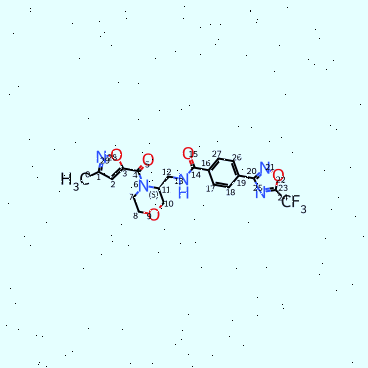 Cc1cc(C(=O)N2CCOC[C@@H]2CNC(=O)c2ccc(-c3noc(C(F)(F)F)n3)cc2)on1